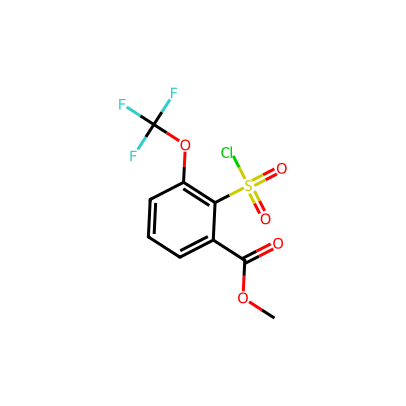 COC(=O)c1cccc(OC(F)(F)F)c1S(=O)(=O)Cl